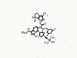 CSNc1nc(C)n2c(-c3ccc(C#CC(C)(C)O)nc3C(Cc3cc(F)cc(F)c3)NC(=O)Cn3nc(C(F)(F)F)c4c3C(F)(F)CC4)cccc12